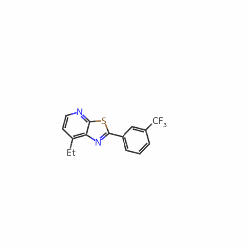 CCc1ccnc2sc(-c3cccc(C(F)(F)F)c3)nc12